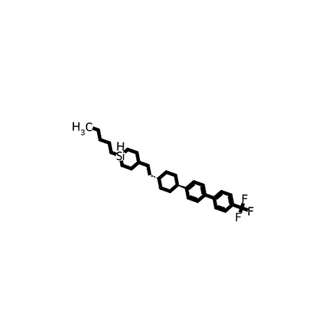 CCCCC[SiH]1CCC(CC[C@H]2CC[C@H](c3ccc(-c4ccc(C(F)(F)F)cc4)cc3)CC2)CC1